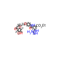 CCOC(=O)c1cc(NC(=N)N)cc(C(=O)Nc2ccc(OCCCCC3(C)CC(=O)c4c(C)c(O)c(C)c(C)c4O3)cc2)c1